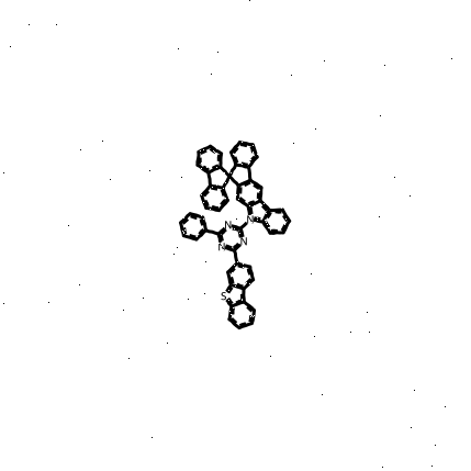 c1ccc(-c2nc(-c3ccc4c(c3)sc3ccccc34)nc(-n3c4ccccc4c4cc5c(cc43)C3(c4ccccc4-c4ccccc43)c3ccccc3-5)n2)cc1